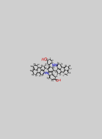 Oc1ccc2[nH]c3c(-c4ccc5c6cccc7cccc(c8cccc4c85)c76)c4c([nH]c5ccc(O)cc54)c(-c4ccc5c6cccc7cccc(c8cccc4c85)c76)c3c2c1